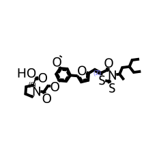 CCC(CC)CC(C)N1C(=O)/C(=C/c2ccc(-c3cc(OC)cc(OCC(=O)N4CCC[C@H]4C(=O)O)c3)o2)SC1=S